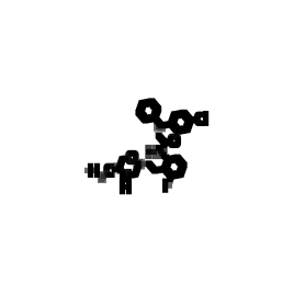 [CH2][C@H]1CO[C@H](CCc2c(F)cccc2NC(=O)C[C@H](c2ccccc2)c2ccc(Cl)cc2)CN1